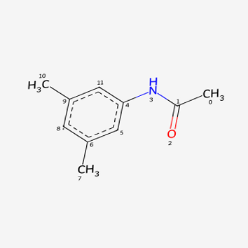 CC(=O)Nc1cc(C)[c]c(C)c1